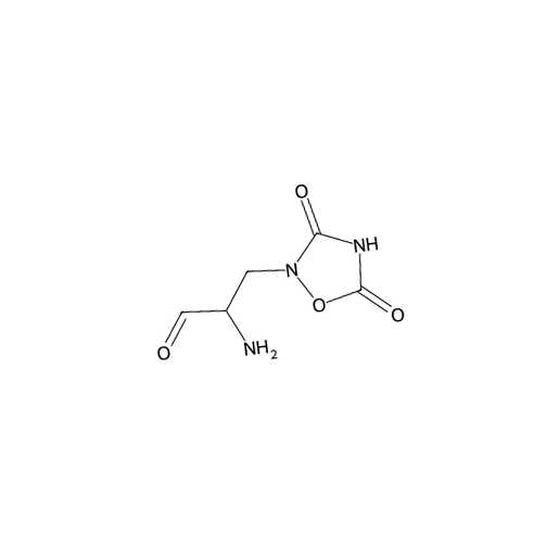 NC(C=O)Cn1oc(=O)[nH]c1=O